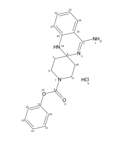 Cl.NC1=NC2(CCN(C(=O)Oc3ccccc3)CC2)Nc2ccccc21